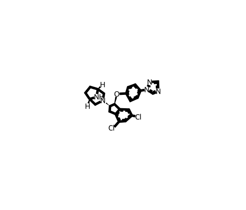 Clc1cc(Cl)c2c(c1)[C@H](Oc1ccc(-n3cncn3)cc1)[C@@H](N1C[C@H]3CC[C@@H](C1)N3)C2